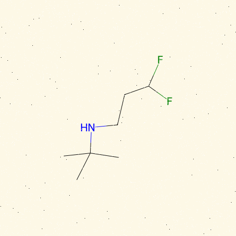 CC(C)(C)NCCC(F)F